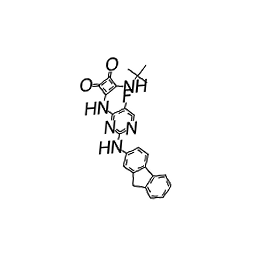 CC(C)(C)Nc1c(Nc2nc(Nc3ccc4c(c3)Cc3ccccc3-4)ncc2F)c(=O)c1=O